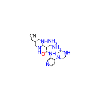 N#CCC1CNC(C(C(=O)Nc2cnccc2N2CCNCC2)C(N)N)NC1